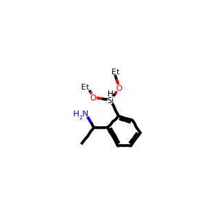 CCO[SiH](OCC)c1ccccc1C(C)N